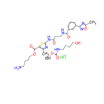 CC(C)(C)OC(=O)NCCCCO.Cc1nc(-c2cccc(C(=O)NCCC(=O)Nc3nc(C)c(C(=O)OCCCCN)s3)c2)no1.Cl